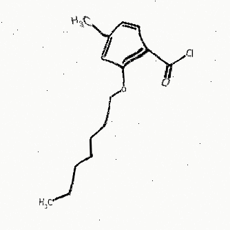 CCCCCCCOc1cc(C)ccc1C(=O)Cl